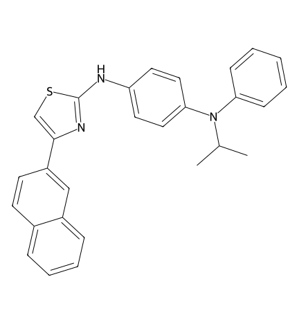 CC(C)N(c1ccccc1)c1ccc(Nc2nc(-c3ccc4ccccc4c3)cs2)cc1